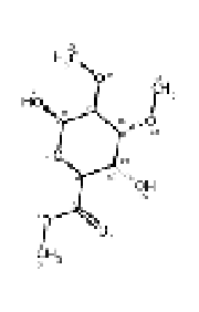 COC(=O)C1O[C@@H](O)C(OC)[C@H](OC)[C@@H]1O